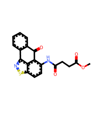 COC(=O)CCC(=O)Nc1ccc2snc3c2c1C(=O)c1ccccc1-3